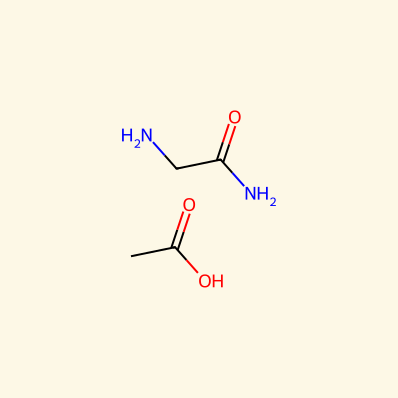 CC(=O)O.NCC(N)=O